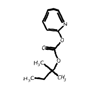 CCC(C)(C)OC(=O)Oc1ccccn1